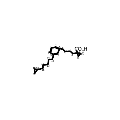 O=C(O)C1(CCCCc2cccc(CCCCCC3CC3)c2)CC1